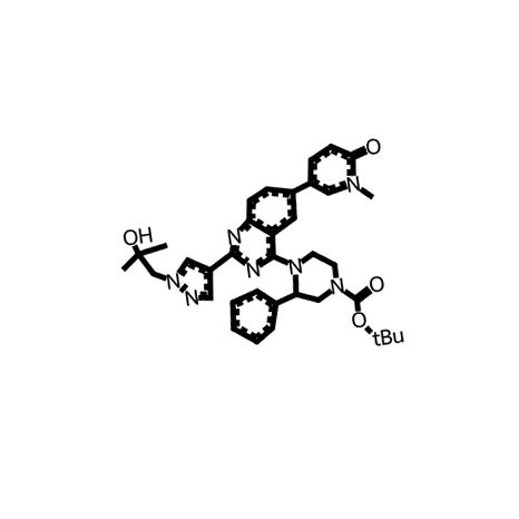 Cn1cc(-c2ccc3nc(-c4cnn(CC(C)(C)O)c4)nc(N4CCN(C(=O)OC(C)(C)C)CC4c4ccccc4)c3c2)ccc1=O